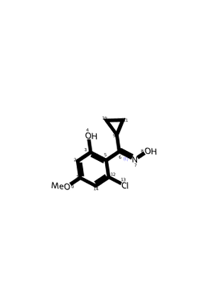 COc1cc(O)c(/C(=N/O)C2CC2)c(Cl)c1